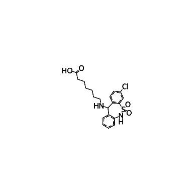 O=C(O)CCCCCCNC1c2ccccc2NS(=O)(=O)c2cc(Cl)ccc21